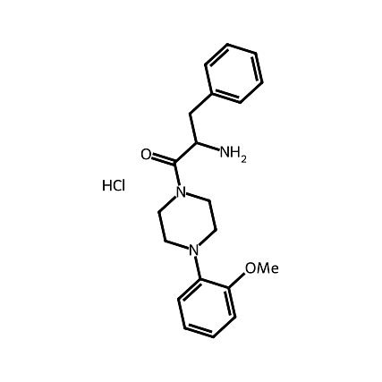 COc1ccccc1N1CCN(C(=O)C(N)Cc2ccccc2)CC1.Cl